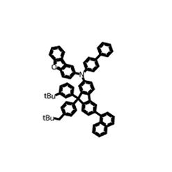 CC(C)(C)Cc1ccc(C2(c3cccc(C(C)(C)C)c3)c3ccc(-c4cccc5ccccc45)cc3-c3ccc(N(c4ccc(-c5ccccc5)cc4)c4ccc5oc6ccccc6c5c4)cc32)cc1